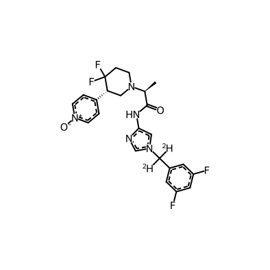 [2H]C([2H])(c1cc(F)cc(F)c1)n1cnc(NC(=O)[C@H](C)N2CCC(F)(F)[C@@H](c3cc[n+]([O-])cc3)C2)c1